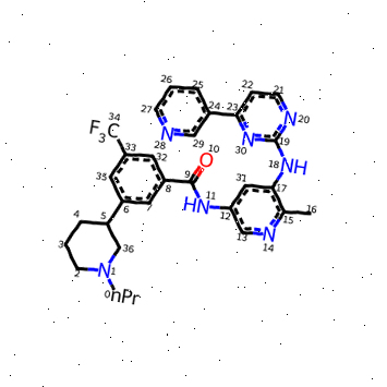 CCCN1CCCC(c2cc(C(=O)Nc3cnc(C)c(Nc4nccc(-c5cccnc5)n4)c3)cc(C(F)(F)F)c2)C1